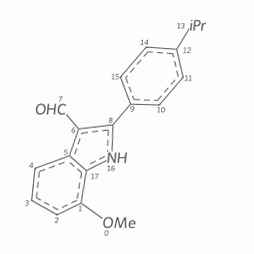 COc1cccc2c(C=O)c(-c3ccc(C(C)C)cc3)[nH]c12